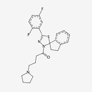 O=C(CCCN1CCCC1)N1N=C(c2cc(F)ccc2F)SC12CCc1ccccc12